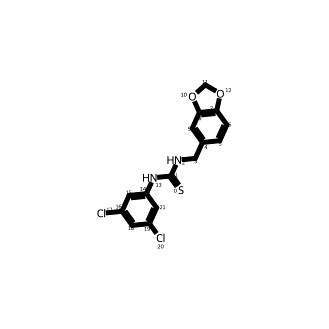 S=C(NCc1ccc2c(c1)OCO2)Nc1cc(Cl)cc(Cl)c1